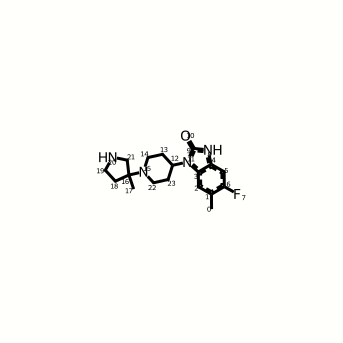 Cc1cc2c(cc1F)[nH]c(=O)n2C1CCN(C2(C)CCNC2)CC1